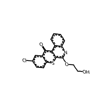 O=c1c2cc(Cl)ccc2sc2c(OCCO)nc3ccccc3c12